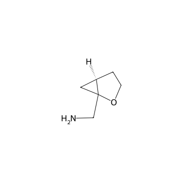 NCC12C[C@H]1CCO2